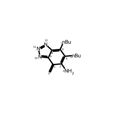 C=c1c(N)c(CCCC)c(CCCC)c2c1=NN=N2